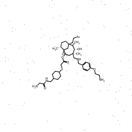 CC(=O)CC[C@]12CC[C@@H](C)[C@](C)(C1)[C@H](OC(=O)CSC1CCC(CNC(=O)CN)CC1)C[C@](C)(CNCc1ccc(OCCN)cc1)[C@@H](O)[C@@H]2C